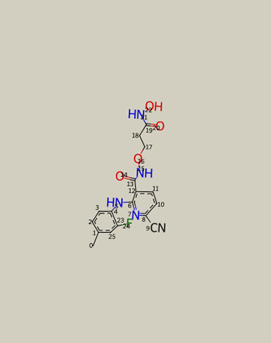 Cc1ccc(Nc2nc(C#N)ccc2C(=O)NOCCC(=O)NO)c(F)c1